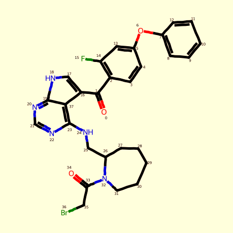 O=C(c1ccc(Oc2ccccc2)cc1F)c1c[nH]c2ncnc(NCC3CCCCCN3C(=O)CBr)c12